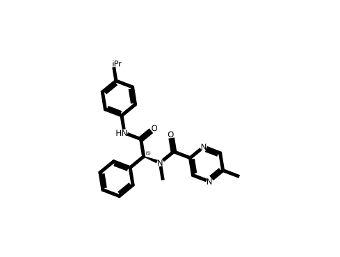 Cc1cnc(C(=O)N(C)[C@H](C(=O)Nc2ccc(C(C)C)cc2)c2ccccc2)cn1